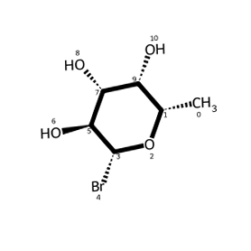 C[C@@H]1O[C@H](Br)[C@@H](O)[C@H](O)[C@@H]1O